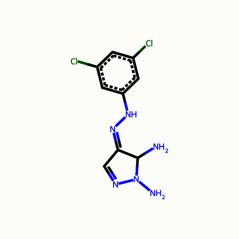 NC1C(=NNc2cc(Cl)cc(Cl)c2)C=NN1N